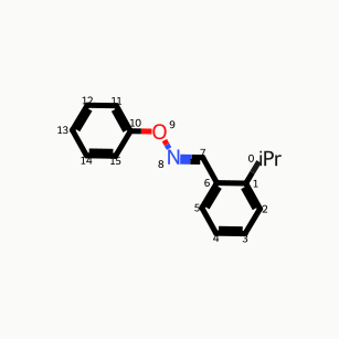 CC(C)c1ccccc1/C=N/Oc1ccccc1